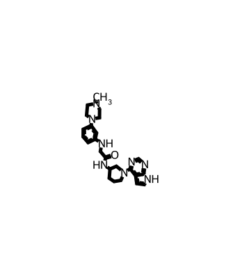 CN1CCN(c2cccc(NCC(=O)NC3CCCN(c4ncnc5[nH]ccc45)C3)c2)CC1